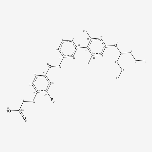 CCCC(CCC)Oc1cc(C)c(-c2cccc(COc3ccc(CCC(=O)O)c(F)c3)c2)c(C)c1